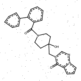 O=C(c1ccccc1-c1ccccc1)N1CCC(O)(Cn2cnn3cccc3c2=O)CC1